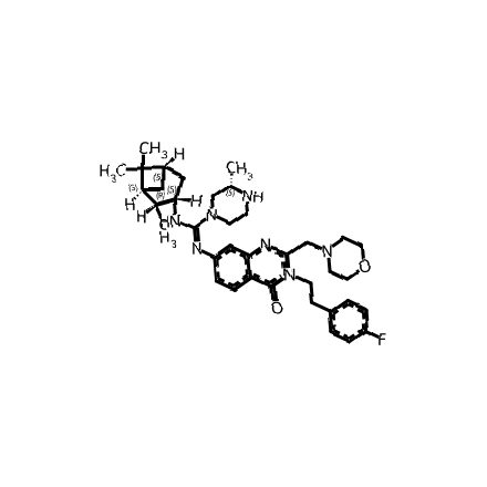 C[C@H]1[C@@H](NC(=Nc2ccc3c(=O)n(CCc4ccc(F)cc4)c(CN4CCOCC4)nc3c2)N2CCN[C@@H](C)C2)C[C@@H]2C[C@@H]1C2(C)C